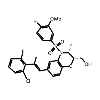 COc1cc(S(=O)(=O)N2c3cc(C=C(C)c4c(F)cccc4Cl)ccc3O[C@@H](CO)[C@H]2C)ccc1F